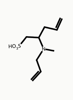 C=CCC(CS(=O)(=O)O)N(C)CC=C